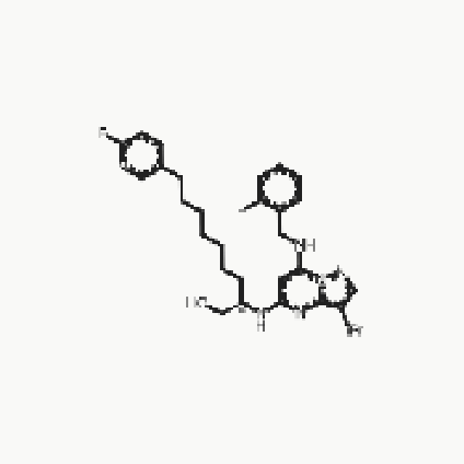 CC(C)c1cnn2c(NCc3ccccc3F)cc(N[C@@H](CO)CCCCCCCc3ccc(F)nc3)nc12